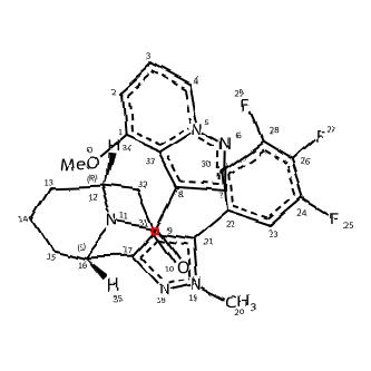 COc1cccn2ncc(C(=O)N3[C@@H]4CCC[C@H]3c3nn(C)c(-c5cc(F)c(F)c(F)c5)c3C4)c12